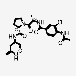 C=C(O)CC(C=O)NC(=O)[C@@H]1CCCN1C(=O)[C@H](C)NC(=O)c1ccc(NC(C)=O)c(Cl)c1